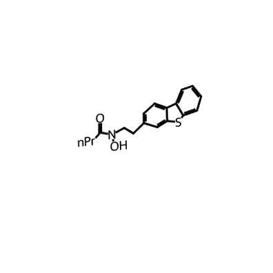 CCCC(=O)N(O)CCc1ccc2c(c1)sc1ccccc12